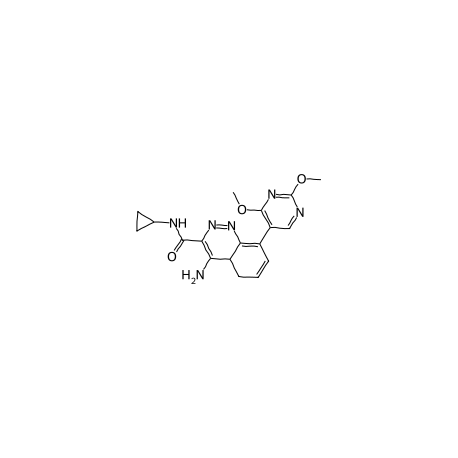 COc1ncc(C2=C3N=NC(C(=O)NC4CC4)=C(N)C3CC=C2)c(OC)n1